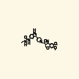 CCNC(=O)Nc1ccc2[nH]cc(C3=CCN(CC4ON=C5c6cc(OC)c(OC)cc6OCC54)CC3)c2c1